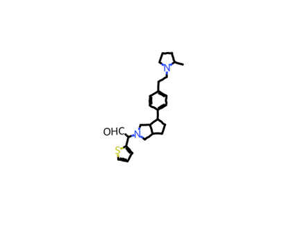 CC1CCCN1CCc1ccc(C2CCC3CN(C(C=O)c4cccs4)CC32)cc1